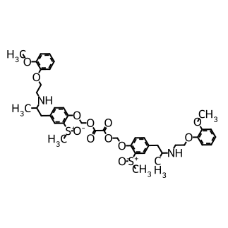 COc1ccccc1OCCNC(C)Cc1ccc(OCOC(=O)C(=O)OCOc2ccc(CC(C)NCCOc3ccccc3OC)cc2[S+](C)[O-])c([S+](C)[O-])c1